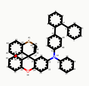 c1ccc(-c2ccccc2-c2ccc(N(c3ccccc3)c3ccc4c(c3)C3(c5ccccc5O4)c4ccccc4Sc4ccccc43)cc2)cc1